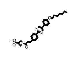 CCCCCCCOc1ccc(-c2cnc(-c3ccc(CCC(=O)N4CC(C(=O)O)C4)cc3)nc2)cc1